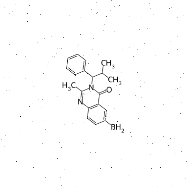 Bc1ccc2nc(C)n(C(c3ccccc3)C(C)C)c(=O)c2c1